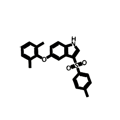 Cc1ccc(S(=O)(=O)c2c[nH]c3ccc(Oc4c(C)c[c]cc4C)cc23)cc1